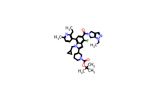 CCc1nc(C)ccc1-c1cc(C(=O)N2Cc3cnn(CC)c3C2)c(F)c2cc(C3=CCCN(C(=O)OC(C)(C)C)C3)n(CC3CC3)c12